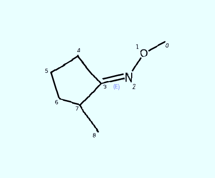 CO/N=C1\CCCC1C